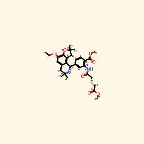 CCOc1cc2c(c3c1OC(C)(C)C3)C(c1ccc(C(=O)OC)c(NC(=O)CSCC(=O)OC)c1)=NC(C)(C)C2